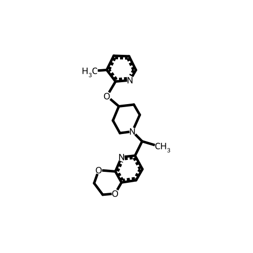 Cc1cccnc1OC1CCN(C(C)c2ccc3c(n2)OCCO3)CC1